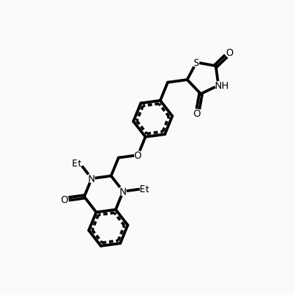 CCN1C(=O)c2ccccc2N(CC)C1COc1ccc(CC2SC(=O)NC2=O)cc1